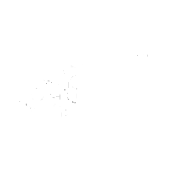 COc1cc(F)c(OCCCCCCCCC(=O)O)cc1C(=O)N[C@@H]1[C@H]2CC[C@H](C2)[C@@H]1C(=O)Nc1cccc(S(=O)(=O)C(F)(F)F)c1